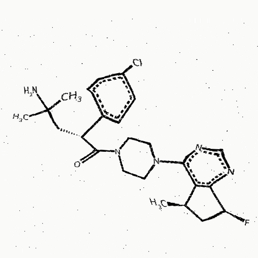 C[C@@H]1C[C@H](F)c2ncnc(N3CCN(C(=O)[C@H](CC(C)(C)N)c4ccc(Cl)cc4)CC3)c21